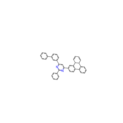 C1=CC2c3ccccc3-c3ccc(-c4cc(-c5cccc(-c6ccccc6)c5)nc(-c5ccccc5)n4)cc3C2C=C1